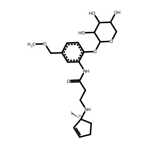 COCc1ccc(OC2OCC(O)C(O)C2O)c(NC(=O)CCN[C@]2(I)C=CCC2)c1